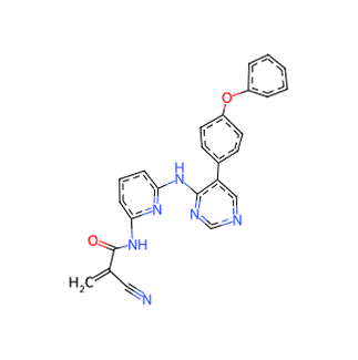 C=C(C#N)C(=O)Nc1cccc(Nc2ncncc2-c2ccc(Oc3ccccc3)cc2)n1